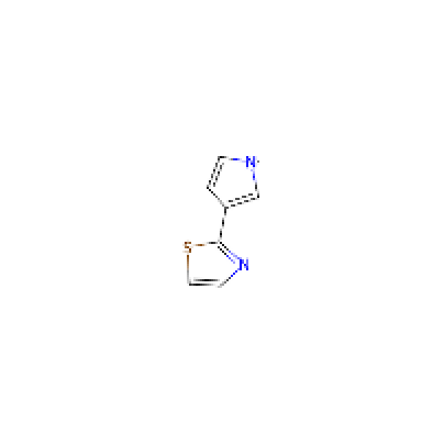 C1=CC(c2nccs2)=C[N]1